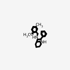 COc1ccc(C)cc1CNC1C2CCCC(C2)NC1c1ccccc1